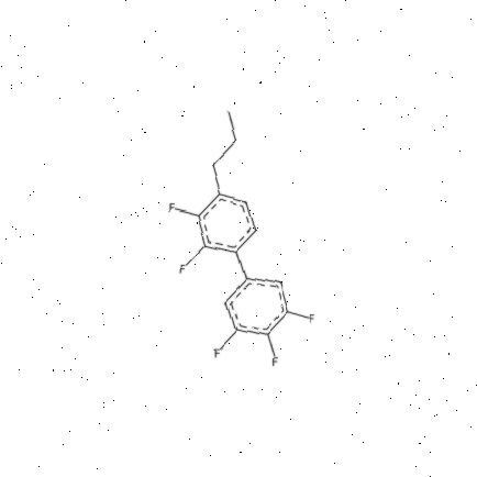 CCCc1ccc(-c2cc(F)c(F)c(F)c2)c(F)c1F